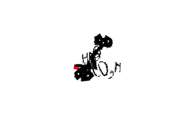 O=C(O)CNC(=O)[C@H](Cc1cn(C(c2ccccc2)(c2ccccc2)c2ccccc2)cn1)NC(=O)OCC1c2ccccc2-c2ccccc21